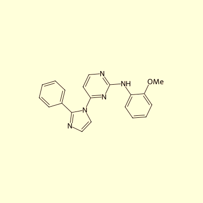 COc1ccccc1Nc1nccc(-n2ccnc2-c2ccccc2)n1